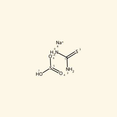 NC(N)=S.O=S([O-])O.[Na+]